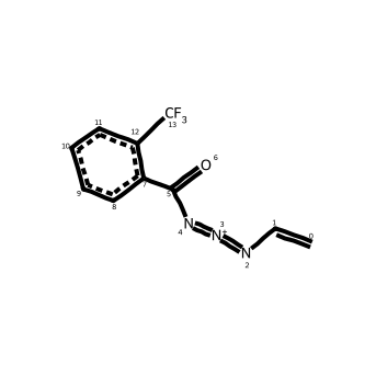 C=CN=[N+]=NC(=O)c1ccccc1C(F)(F)F